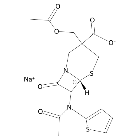 CC(=O)OCC1(C(=O)[O-])CS[C@@H]2C(N(C(C)=O)c3cccs3)C(=O)N2C1.[Na+]